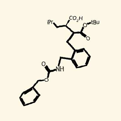 CC(C)C[C@@H](C(=O)O)C(Cc1ccccc1CNC(=O)OCc1ccccc1)C(=O)OC(C)(C)C